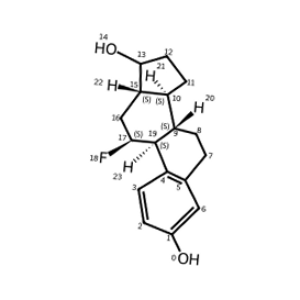 Oc1ccc2c(c1)CC[C@H]1[C@@H]3CCC(O)[C@H]3C[C@H](F)[C@H]21